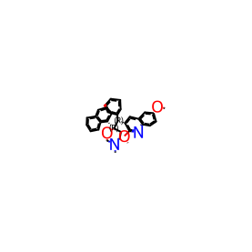 COc1ccc2nc(OC)c([C@@H](c3ccccc3)[C@@]3(c4cccc5ccccc45)CCN(C)CO3)cc2c1